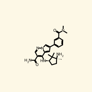 CN(C)C(=O)c1cccc(-c2cc3c(N[C@@H]4CC[C@](C)(N)C4(C)C)c(C(N)=O)cnn3c2)c1